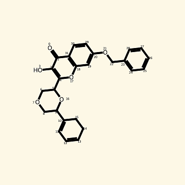 O=c1c(O)c(C2COCC(C3=CC=CCC3)O2)oc2cc(OCc3ccccc3)ccc12